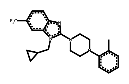 Cc1ccccc1N1CCN(c2nc3ccc(C(F)(F)F)cc3n2CC2CC2)CC1